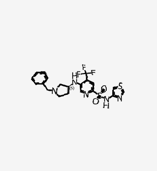 O=S(=O)(Nc1cscn1)c1cc(C(F)(F)F)c(N[C@H]2CCN(Cc3ccccc3)C2)cn1